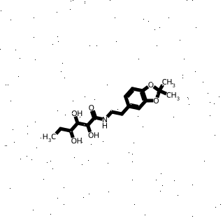 CCC(O)C(O)C(O)C(=O)NCCc1ccc2c(c1)OC(C)(C)O2